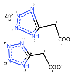 O=C([O-])Cc1nnn[nH]1.O=C([O-])Cc1nnn[nH]1.[Zn+2]